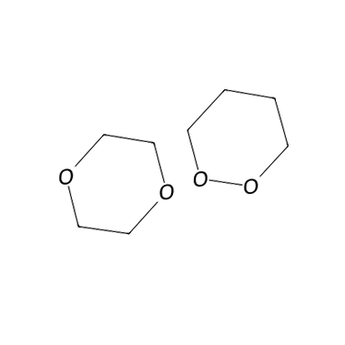 C1CCOOC1.C1COCCO1